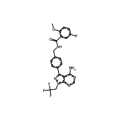 COc1ccc(F)cc1C(=O)NCc1ccc(-c2nn(CC(F)(F)F)c3ncnc(N)c23)cc1